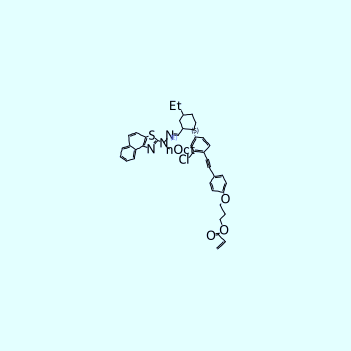 C=CC(=O)OCCCOc1ccc(C#Cc2ccc([C@H]3CCC(CC)CC3/C=N/N(CCCCCCCC)c3nc4c(ccc5ccccc54)s3)cc2Cl)cc1